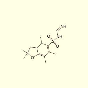 CC1=C2OC(C)(C)CC2C(C)C(S(=O)(=O)NC=N)=C1C